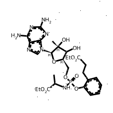 CCOC(=O)CCc1ccccc1OP(=O)(NC(C)C(=O)OCC)OC[C@H]1O[C@@H](n2cnc3c(N)nc(N)nc32)[C@](C)(O)C1O